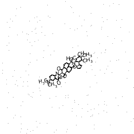 Cc1c(C)c(C)c(N2C(=O)c3ccc4c5c(ccc(c35)C2=O)C(=O)C(c2nc3ccc(N(C)C)cc3c(=O)[nH]2)C4=O)c(C2=CC=CC2)c1C